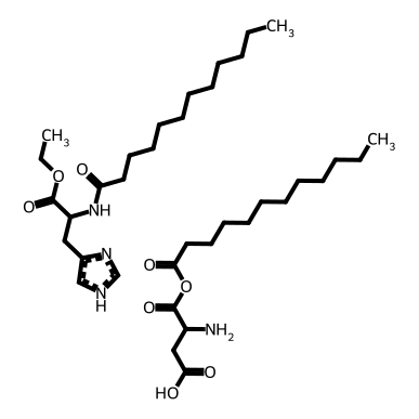 CCCCCCCCCCCC(=O)NC(Cc1c[nH]cn1)C(=O)OCC.CCCCCCCCCCCC(=O)OC(=O)C(N)CC(=O)O